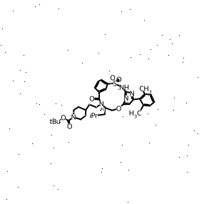 Cc1cccc(C)c1-c1cc2nc(n1)NS(=O)(=O)c1cccc(c1)C(=O)N(CCC1CCN(C(=O)OC(C)(C)C)CC1)[C@H](CC(C)C)CO2